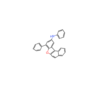 c1ccc(Nc2cc(-c3ccccc3)c3oc4ccc5ccccc5c4c3c2)cc1